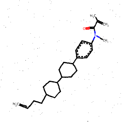 C=CCCC1CCC(C2CCC(c3ccc(N(C)C(=O)C(=C)C)cc3)CC2)CC1